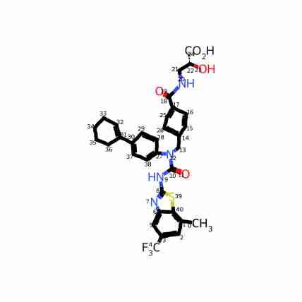 Cc1cc(C(F)(F)F)cc2nc(NC(=O)N(Cc3ccc(C(=O)NC[C@@H](O)C(=O)O)cc3)c3ccc(C4=CCCCC4)cc3)sc12